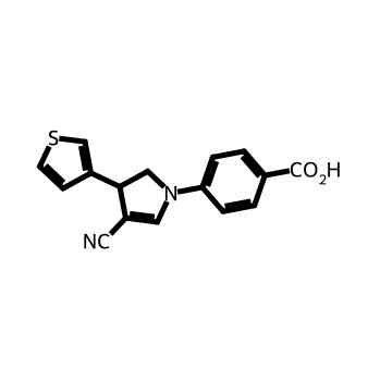 N#CC1=CN(c2ccc(C(=O)O)cc2)CC1c1ccsc1